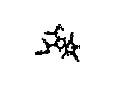 CCCCOC(=O)N1C[C@@]2(C[C@H]1C(N)=O)C(=O)NC(=O)N2C